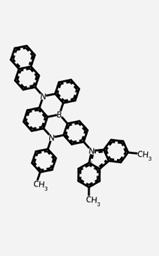 Cc1ccc(N2c3cc(-n4c5ccc(C)cc5c5cc(C)ccc54)ccc3B3c4ccccc4N(c4ccc5ccccc5c4)c4cccc2c43)cc1